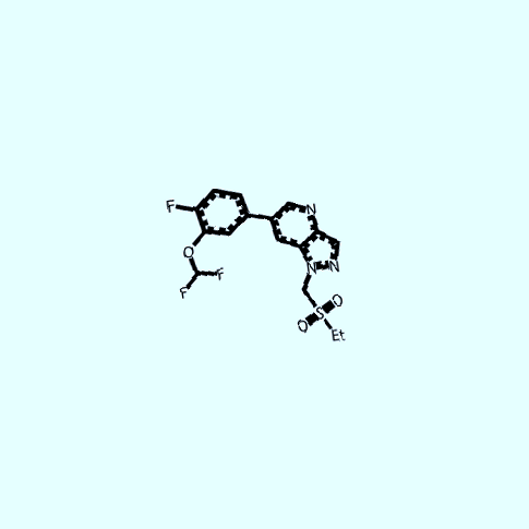 CCS(=O)(=O)Cn1ncc2ncc(-c3ccc(F)c(OC(F)F)c3)cc21